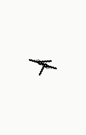 CCCCCCCCC1=C(C(C)(C)C2=C(CCCCCCCC)CC(O)(CCCCCCCC)C=C2)C=CC(O)(CCCCCCCC)C1